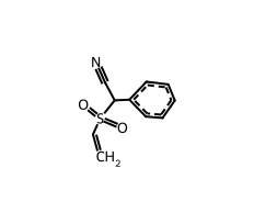 C=CS(=O)(=O)C(C#N)c1ccccc1